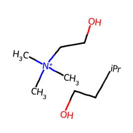 CC(C)CCO.C[N+](C)(C)CCO